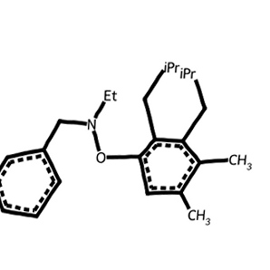 CCN(Cc1ccccc1)Oc1cc(C)c(C)c(CC(C)C)c1CC(C)C